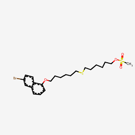 CS(=O)(=O)OCCCCCCSCCCCCCOc1cccc2cc(Br)ccc12